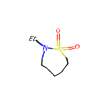 CCN1CCCS1(=O)=O